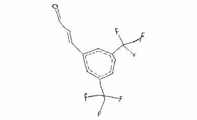 O=C/C=C/c1cc(C(F)(F)F)cc(C(F)(F)F)c1